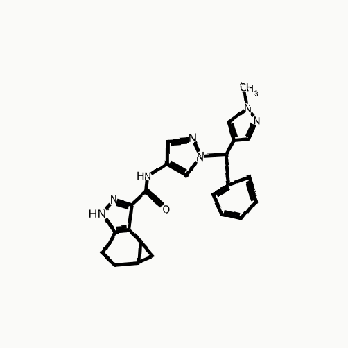 Cn1cc(C(c2ccccc2)n2cc(NC(=O)c3n[nH]c4c3C3CC3CC4)cn2)cn1